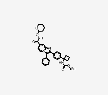 CC(C)(C)OC(=O)NC1(c2ccc(-c3nc4cc(C(=O)NOC5CCCCO5)ccn4c3-c3ccccc3)cc2)CCC1